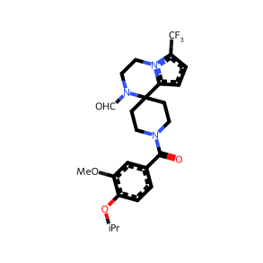 COc1cc(C(=O)N2CCC3(CC2)c2ccc(C(F)(F)F)n2CCN3C=O)ccc1OC(C)C